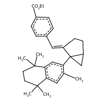 CCOC(=O)c1ccc(/C=C2\CCC3CC23c2cc3c(cc2C)C(C)(C)CCC3(C)C)cc1